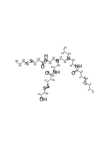 CCCSSCCC(=O)NCCN(CCC)CCN(CCNC(=O)CCSSCCC)CCNC(=O)CCSSCCO